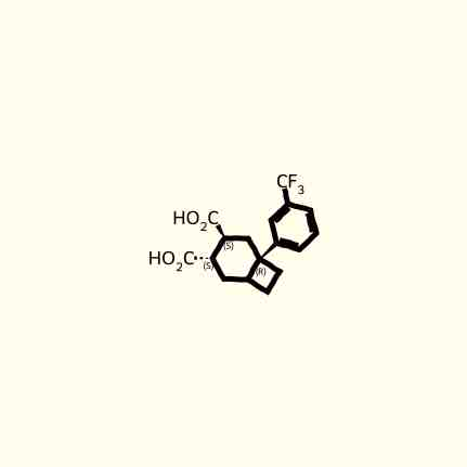 O=C(O)[C@H]1CC2CC[C@@]2(c2cccc(C(F)(F)F)c2)C[C@@H]1C(=O)O